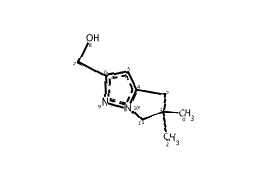 CC1(C)Cc2cc(CO)nn2C1